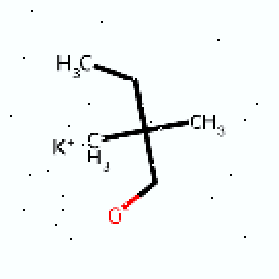 CCC(C)(C)C[O-].[K+]